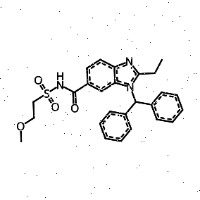 CCc1nc2ccc(C(=O)NS(=O)(=O)CCOC)cc2n1C(c1ccccc1)c1ccccc1